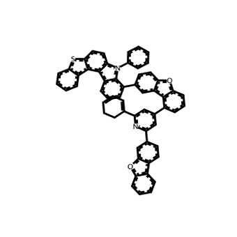 C1=CCCC(c2cc(-c3cccc4oc5ccc(-c6cccc7c8c9c(ccc8n(-c8ccccc8)c67)sc6ccccc69)cc5c34)cc(-c3ccc4c(c3)oc3ccccc34)n2)=C1